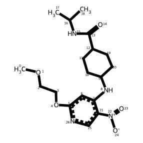 COCCOc1cc(NC2CCC(C(=O)NC(C)C)CC2)c([N+](=O)[O-])cn1